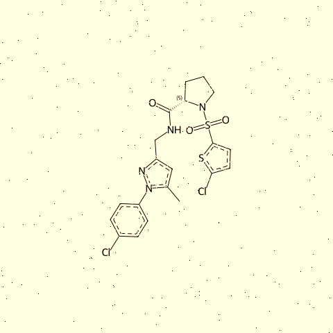 Cc1cc(CNC(=O)[C@@H]2CCCN2S(=O)(=O)c2ccc(Cl)s2)nn1-c1ccc(Cl)cc1